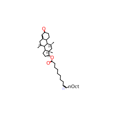 CCCCCCCC/C=C\CCCCCCCC(=O)O[C@H]1CCC2C3C(C4CCC(=O)C=C4C[C@@H]3C)[C@@H](C)C[C@@]21C